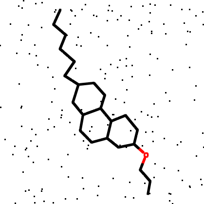 CCCCCCC1CCC2C(CCC3CC(OCCC)CCC32)C1